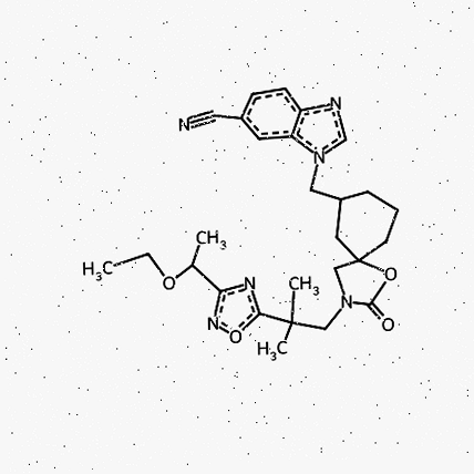 CCOC(C)c1noc(C(C)(C)CN2CC3(CCCC(Cn4cnc5ccc(C#N)cc54)C3)OC2=O)n1